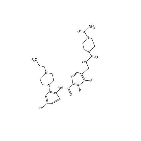 NC(=O)N1CCN(C(=O)NCc2ccc(C(=O)Nc3ccc(Cl)cc3N3CCN(CCC(F)(F)F)CC3)c(F)c2F)CC1